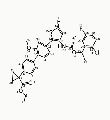 CCOC(=O)C1(c2ccc(-c3ccc(-c4sc(F)cc4NC(=O)OC(C)c4cc(F)ccc4Cl)cc3OC)cc2)CC1